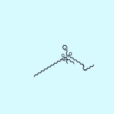 CCCCC/C=C\C/C=C\CCCCCCCC(=O)N(CCN1CCCCC1)C(C(=O)NCCCCCCCCCCCCCCCCCC)C(CC)CCCC